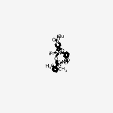 Cc1cccc(C)c1-c1cc2cc(n1)NS(=O)(=O)c1cccc(c1)C(=O)N(C1CC3(CCN(C(=O)OC(C)(C)C)CC3)C1)[C@H](CC(C)C)CO2